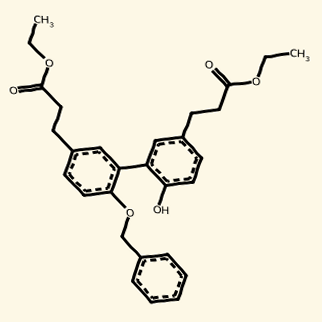 CCOC(=O)CCc1ccc(O)c(-c2cc(CCC(=O)OCC)ccc2OCc2ccccc2)c1